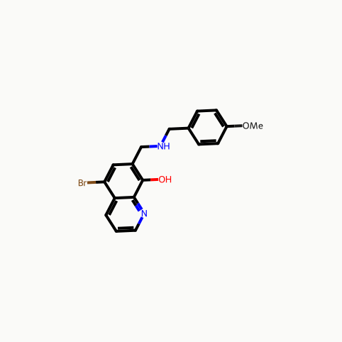 COc1ccc(CNCc2cc(Br)c3cccnc3c2O)cc1